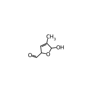 CC1=CC(C=O)OC1O